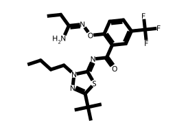 CCCCn1nc(C(C)(C)C)sc1=NC(=O)c1cc(C(F)(F)F)ccc1ON=C(N)CC